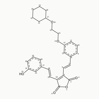 O=C1OC(=O)C(C=Cc2cccc(OCCOC3CCCCC3)c2)=C1C=Cc1cccc(O)c1